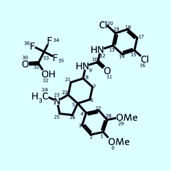 COc1ccc(C23CCC(NC(=O)Nc4cc(Cl)ccc4Cl)CC2N(C)CC3)cc1OC.O=C(O)C(F)(F)F